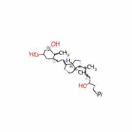 C=C1/C(=C\C=C2/CCC[C@]3(C)[C@@H]([C@H](C)/C=C/C(O)CCC(C)C)CC[C@@H]23)CC(O)C[C@@H]1O